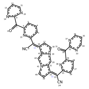 N#C/C(c1cccc(C(=O)c2ncccn2)n1)=c1/ccn2cc3/c(=C(/C#N)c4cccc(C(=O)c5ncccn5)n4)ccn3cc12